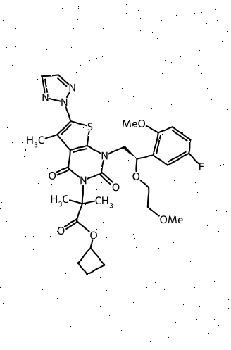 COCCO[C@@H](Cn1c(=O)n(C(C)(C)C(=O)OC2CCC2)c(=O)c2c(C)c(-n3nccn3)sc21)c1cc(F)ccc1OC